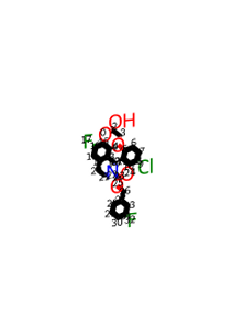 O=C(O)COc1ccc(Cl)cc1[C@@H]1c2ccc(F)cc2CCN1C(=O)OCc1cccc(F)c1